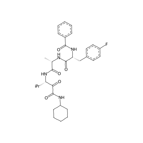 CC(C)[C@H](NC(=O)[C@H](C)NC(=O)[C@@H](Cc1ccc(F)cc1)NC(=O)c1ccccc1)C(=O)C(=O)NC1CCCCC1